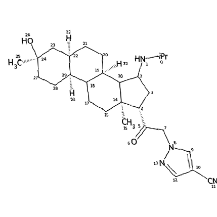 CC(C)NC1C[C@H](C(=O)Cn2cc(C#N)cn2)[C@@]2(C)CCC3[C@@H](CC[C@@H]4C[C@](C)(O)CC[C@H]34)C12